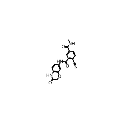 CNC(=O)c1ccc(C#N)c(C(=O)Nc2ccc3c(c2)OCC(=O)N3)c1